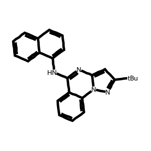 CC(C)(C)c1cc2nc(Nc3cccc4ccccc34)c3ccccc3n2n1